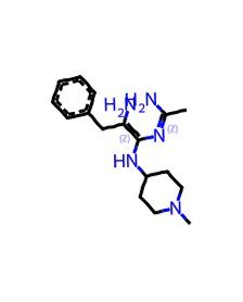 C/C(N)=N/C(NC1CCN(C)CC1)=C(\N)Cc1ccccc1